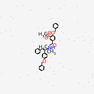 CC(C)(NCC(=O)c1ccc(OCc2ccccc2)c(S(C)(=O)=O)c1)C(Cc1ccccc1)c1ccc(OCc2ccccc2)cc1